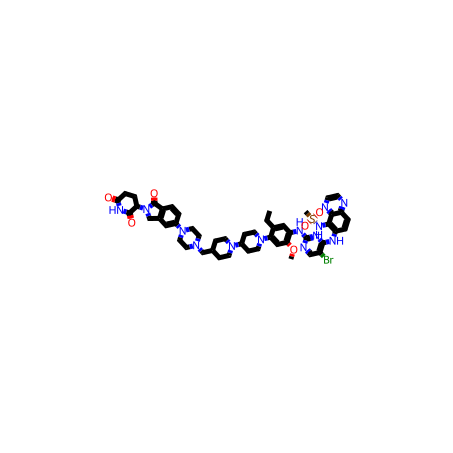 CCc1cc(Nc2ncc(Br)c(Nc3ccc4nccnc4c3NS(C)(=O)=O)n2)c(OC)cc1N1CCC(N2CCC(CN3CCN(c4ccc5c(c4)CN(C4CCC(=O)NC4=O)C5=O)CC3)CC2)CC1